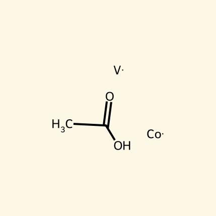 CC(=O)O.[Co].[V]